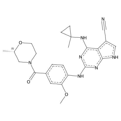 COc1cc(C(=O)N2CCO[C@@H](C)C2)ccc1Nc1nc(NC2(C)CC2)c2c(C#N)c[nH]c2n1